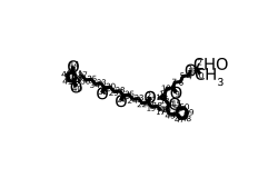 C[C@H](C=O)OCCCCC(=O)CC1CC1C(=O)[C@@H](CCCC(=O)CCCCC(=O)CCCC(=O)CCCCCN1C(=O)C=CC1=O)Cc1ccccc1